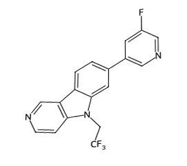 Fc1cncc(-c2ccc3c4cnccc4n(CC(F)(F)F)c3c2)c1